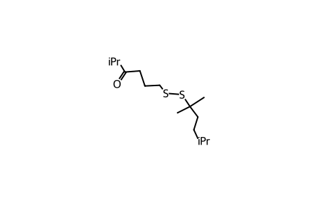 CC(C)CCC(C)(C)SSCCCC(=O)C(C)C